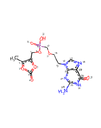 Cc1oc(=O)oc1COP(=O)(O)COCCn1cnc2c(=O)[nH]c(N)nc21